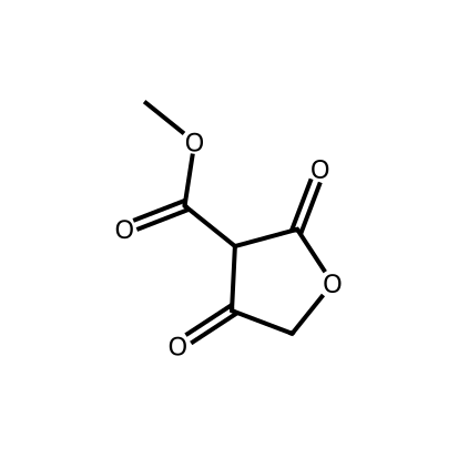 COC(=O)C1C(=O)COC1=O